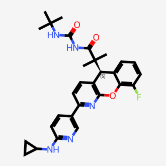 CC(C)(C)NC(=O)NC(=O)C(C)(C)[C@@H]1c2ccc(-c3ccc(NC4CC4)nc3)nc2Oc2c(F)cccc21